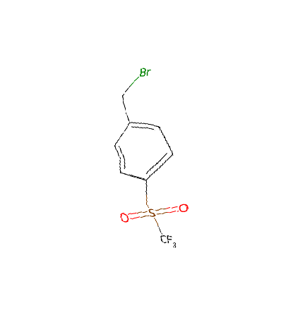 O=S(=O)(c1ccc(CBr)cc1)C(F)(F)F